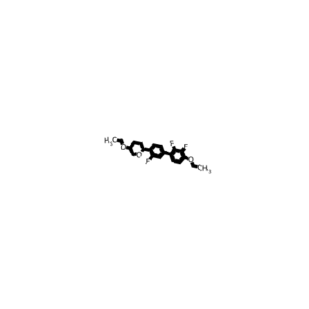 CCOc1ccc(-c2ccc(C3CCC(OCC)CO3)c(F)c2)c(F)c1F